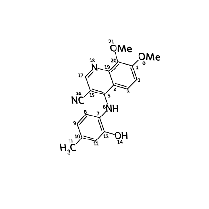 COc1ccc2c(Nc3ccc(C)cc3O)c(C#N)cnc2c1OC